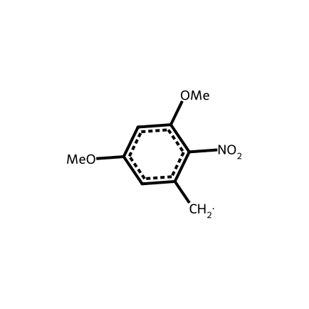 [CH2]c1cc(OC)cc(OC)c1[N+](=O)[O-]